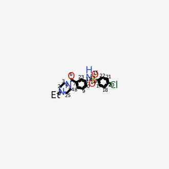 CCN1CCN(C(=O)c2cccc(NS(=O)(=O)c3ccc(Cl)cc3)c2)CC1